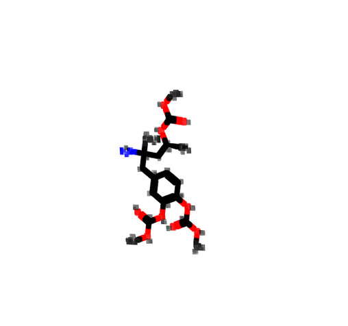 CCCCOC(=O)O[C@@H](C)CC(N)(Cc1ccc(OC(=O)OC(C)(C)C)c(OC(=O)OC(C)(C)C)c1)C(=O)O